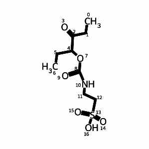 CCC(=O)C(CC)OC(=O)NCCS(=O)(=O)O